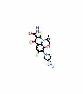 C[C@H]1COc2c(N3CC[C@H](N)C3)c(F)cc3c(=O)c4c(=O)[nH]sc4n1c23